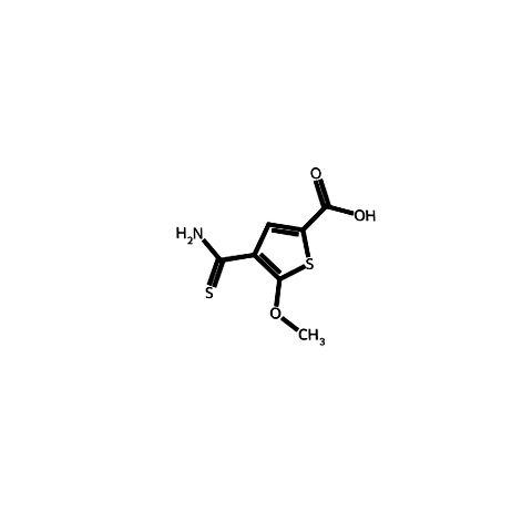 COc1sc(C(=O)O)cc1C(N)=S